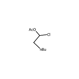 CCCCCC(Cl)OC(C)=O